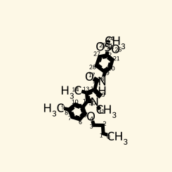 CCCCOc1ccc(C)cc1-c1c(C)c(C(=O)Nc2ccc(S(C)(=O)=O)cc2)cn1C